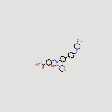 CN1CCN(Cc2ccc(-c3ccc(N(Cc4ccc(C(=O)NO)cc4)C(O)N4CCOCC4)cc3)cc2)CC1